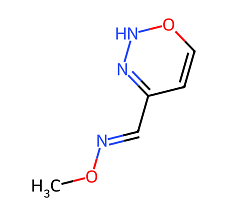 CON=CC1=NNOC=C1